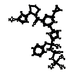 Cc1csc(C2CCCN2C(=O)c2cc(-c3nnc(C(C)(Cc4ccccc4)NC(=O)OC(C)(C)C)o3)nc(C3CC3)c2)n1